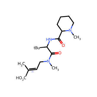 C/C(=C\CN(C)C(=O)C(NC(=O)C1CCCCN1C)C(C)(C)C)C(=O)O